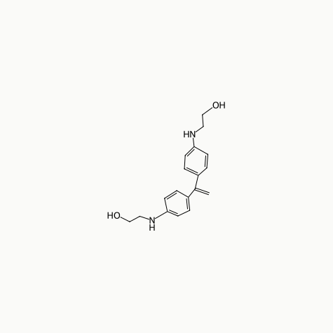 C=C(c1ccc(NCCO)cc1)c1ccc(NCCO)cc1